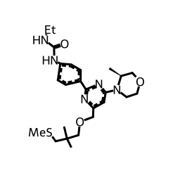 CCNC(=O)Nc1ccc(-c2nc(COCC(C)(C)CSC)cc(N3CCOC[C@@H]3C)n2)cc1